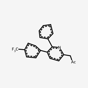 CC(=O)Cc1ccc(-c2ccc(C(F)(F)F)cc2)c(-c2ccccc2)n1